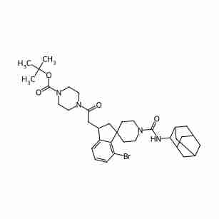 CC(C)(C)OC(=O)N1CCN(C(=O)CC2CC3(CCN(C(=O)NC4C5CC6CC(C5)CC4C6)CC3)c3c(Br)cccc32)CC1